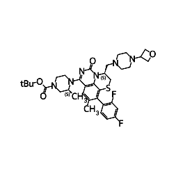 Cc1cc2c(N3CCN(C(=O)OC(C)(C)C)C[C@@H]3C)nc(=O)n3c2c(c1-c1ccc(F)cc1F)SC[C@@H]3CN1CCN(C2COC2)CC1